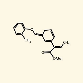 C/C=C(/C(=O)OC)C1=CC(=COc2ccccc2C)CC=C1